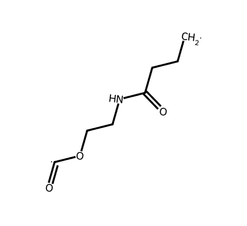 [CH2]CCC(=O)NCCO[C]=O